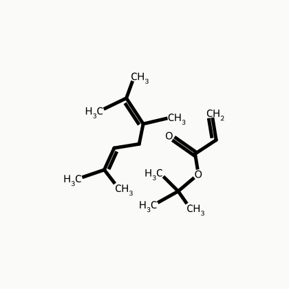 C=CC(=O)OC(C)(C)C.CC(C)=CCC(C)=C(C)C